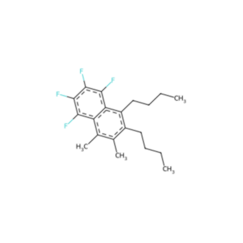 CCCCc1c(C)c(C)c2c(F)c(F)c(F)c(F)c2c1CCCC